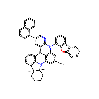 CC(C)(C)c1cc2c3c(c1)N1c4c(cccc4C4(C)CCCCC14C)B3c1cc(-c3cccc4ccccc34)cnc1N2c1cccc2c1oc1ccccc12